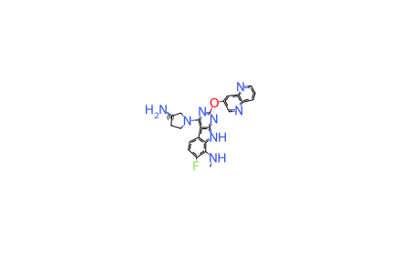 CNc1c(F)ccc2c1[nH]c1nc(Oc3cnc4cccnc4c3)nc(N3CC[C@@H](N)C3)c12